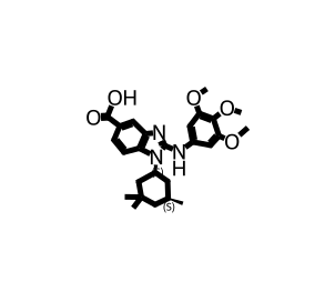 COc1cc(Nc2nc3cc(C(=O)O)ccc3n2[C@H]2C[C@@H](C)CC(C)(C)C2)cc(OC)c1OC